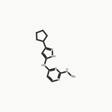 CC(C)(C)Nc1nccc(Nc2cc(C3CCCC3)n[nH]2)n1